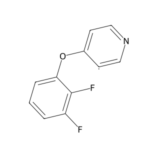 Fc1cccc(Oc2[c]cncc2)c1F